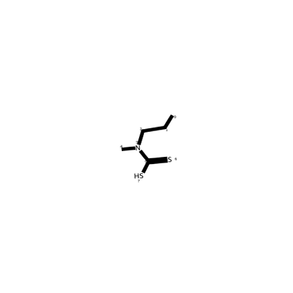 CCCN(C)C(=S)S